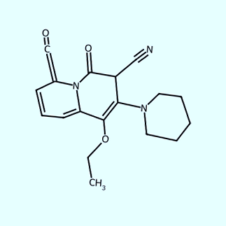 CCOC1=C(N2CCCCC2)C(C#N)C(=O)N2C(=C=O)C=CC=C12